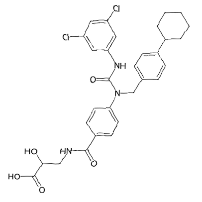 O=C(NCC(O)C(=O)O)c1ccc(N(Cc2ccc(C3CCCCC3)cc2)C(=O)Nc2cc(Cl)cc(Cl)c2)cc1